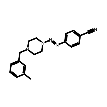 Cc1cccc(CN2CCN(N=Nc3ccc(C#N)cc3)CC2)c1